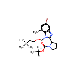 Cc1cc(Br)cc2nc(C3CCCN3C(=O)OC(C)(C)C)n(COCC[Si](C)(C)C)c12